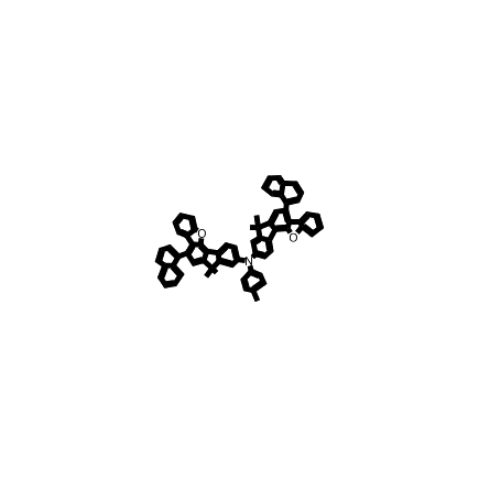 Cc1ccc(N(c2ccc3c(c2)C(C)(C)c2cc(-c4cccc5ccccc45)c4c(oc5ccccc54)c2-3)c2ccc3c(c2)C(C)(C)c2cc(-c4cccc5ccccc45)c4c(oc5ccccc54)c2-3)cc1